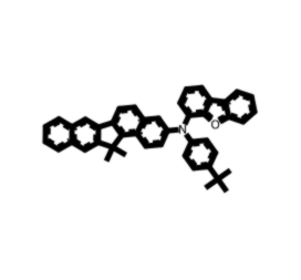 CC(C)(C)c1ccc(N(c2ccc3c4c(ccc3c2)-c2cc3ccccc3cc2C4(C)C)c2cccc3c2oc2ccccc23)cc1